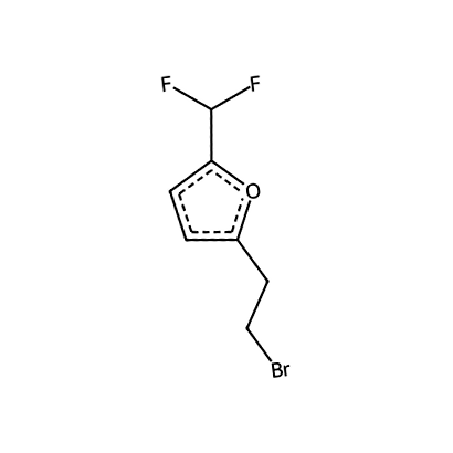 FC(F)c1ccc(CCBr)o1